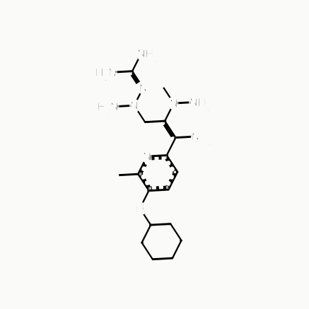 Cc1nc(/C(N)=C(\CN(N)N=C(N)N)N(C)N)ccc1OC1CCCCC1